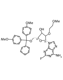 COCCOC1C(O)[C@@H](COC(c2ccccc2)(c2ccc(OC)cc2)c2ccc(OC)cc2)O[C@H]1n1cnc2c(N)nc(F)nc21